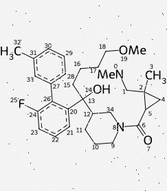 CNCC1(C)CC1C(=O)N1CCCC(C(O)(CCCCOC)c2cccc(F)c2-c2cccc(C)c2)C1